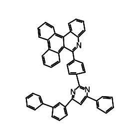 c1ccc(-c2cccc(-c3cc(-c4ccccc4)nc(-c4ccc(-c5nc6ccccc6c6c7ccccc7c7ccccc7c56)cc4)n3)c2)cc1